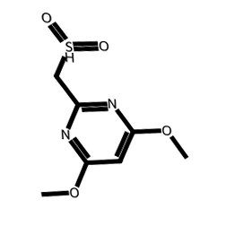 COc1cc(OC)nc(C[SH](=O)=O)n1